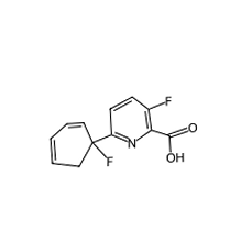 O=C(O)c1nc(C2(F)C=CC=CC2)ccc1F